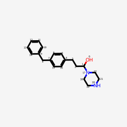 OC(CCc1ccc(Cc2ccccc2)cc1)N1CCNCC1